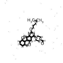 CN(C)CCCOc1nc(N2CCN(C=O)CC2)c2cc(Cl)c(-c3c(O)cccc3F)c(F)c2n1